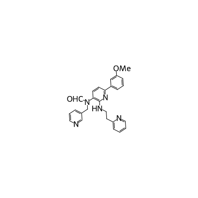 COc1cccc(-c2ccc(N(C=O)Cc3cccnc3)c(NCCc3ccccn3)n2)c1